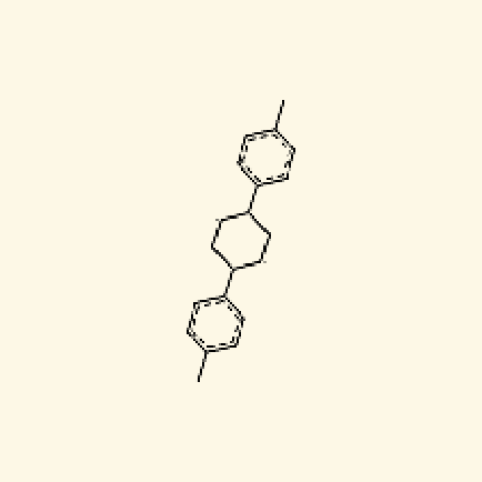 Cc1ccc(C2[CH]CC(c3ccc(C)cc3)[CH]C2)cc1